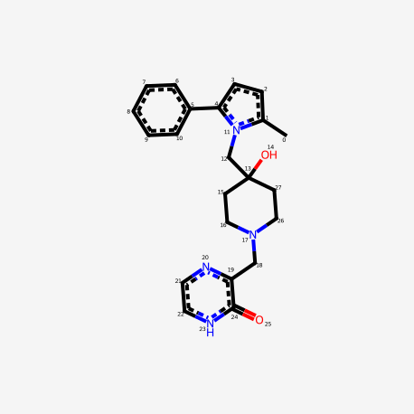 Cc1ccc(-c2ccccc2)n1CC1(O)CCN(Cc2ncc[nH]c2=O)CC1